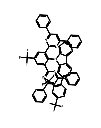 FC(F)(F)c1cc(-c2nc(-c3ccccc3)cc(-c3ccccc3)n2)c(-n2c3ccccc3c3ccc(-c4ccc(C(F)(F)F)cc4C(F)(F)F)cc32)c(-c2nc(-c3ccccc3)cc(-c3ccccc3)n2)c1